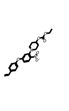 C=Cc1ccc(Oc2ccc([N+](=O)[O-])c(N3CCC(OC(=O)OCC)CC3)c2)cc1